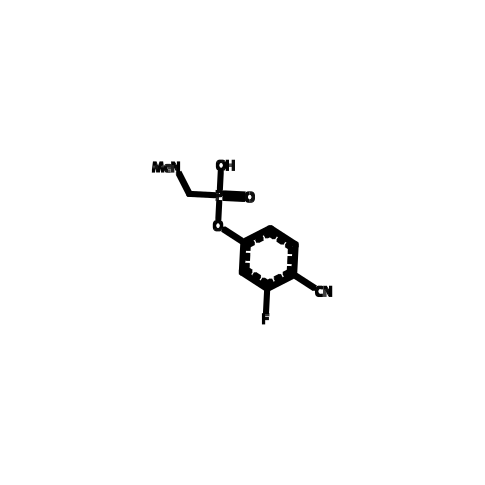 CNCP(=O)(O)Oc1ccc(C#N)c(F)c1